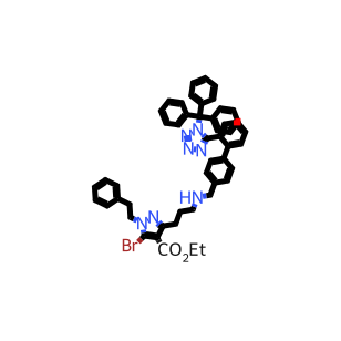 CCOC(=O)c1c(CCCNCc2ccc(-c3ccccc3-c3nnnn3C(c3ccccc3)(c3ccccc3)c3ccccc3)cc2)nn(CCc2ccccc2)c1Br